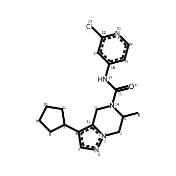 CC1Cn2ncc(C3CCCC3)c2CN1C(=O)Nc1ccnc(Cl)c1